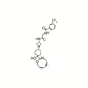 O=C(CNC(=O)c1cccc(C(F)(F)F)c1)NC1CN(C2CCC(O)(/C3=N/C/C=C\C=C/CO3)CC2)C1